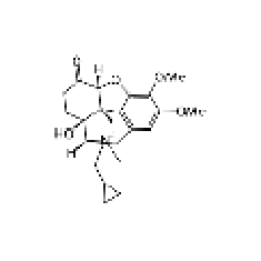 COc1cc2c3c(c1OC)O[C@H]1C(=O)CC[C@@]4(O)[C@@H](C2)[N+](C)(CC2CC2)CC[C@]314